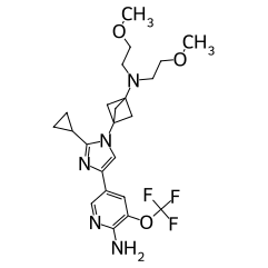 COCCN(CCOC)C12CC(n3cc(-c4cnc(N)c(OC(F)(F)F)c4)nc3C3CC3)(C1)C2